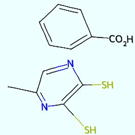 Cc1cnc(S)c(S)n1.O=C(O)c1ccccc1